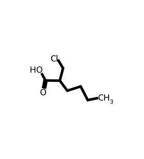 CCCCC(CCl)C(=O)O